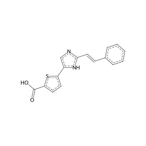 O=C(O)c1ccc(-c2cnc(C=Cc3ccccc3)[nH]2)s1